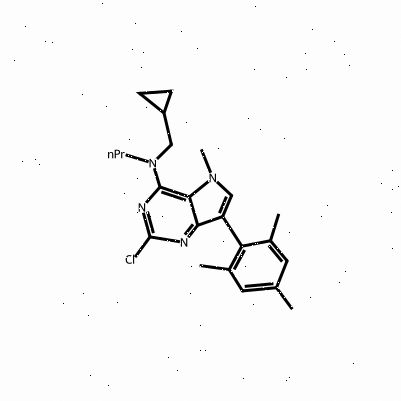 CCCN(CC1CC1)c1nc(Cl)nc2c(-c3c(C)cc(C)cc3C)cn(C)c12